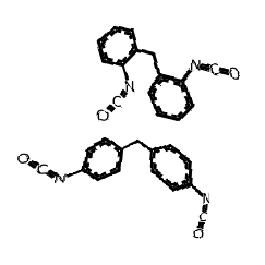 O=C=Nc1ccc(Cc2ccc(N=C=O)cc2)cc1.O=C=Nc1ccccc1Cc1ccccc1N=C=O